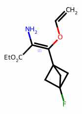 C=CO/C(=C(\N)C(=O)OCC)C12CC(F)(C1)C2